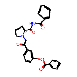 O=C(CN1CCC[C@H]1C(=O)NC(=O)c1ccccc1)c1cccc(OC(=O)c2ccccc2)c1